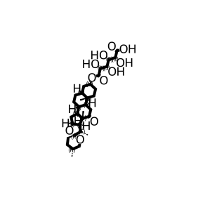 C[C@@H]1CC[C@@]2(OC1)O[C@H]1C[C@H]3[C@@H]4CC[C@H]5C[C@@H](OC(=O)[C@H](O)[C@@H](O)[C@H](O)[C@H](O)C(=O)O)CC[C@]5(C)[C@H]4CC(=O)[C@]3(C)[C@H]1[C@@H]2C